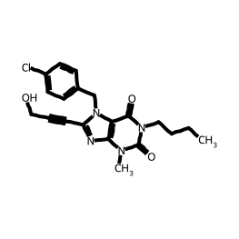 CCCCn1c(=O)c2c(nc(C#CCO)n2Cc2ccc(Cl)cc2)n(C)c1=O